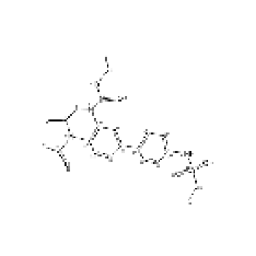 CCOC(=O)N1C[C@H](C)N(C(C)=O)c2ccc(-c3ccc(NS(=O)(=O)CC)cc3)cc21